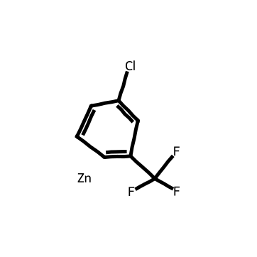 FC(F)(F)c1cccc(Cl)c1.[Zn]